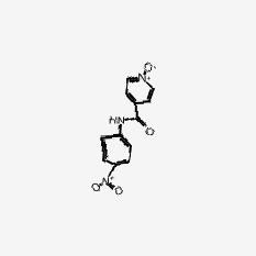 O=C(Nc1ccc([N+](=O)[O-])cc1)c1cc[n+]([O-])cc1